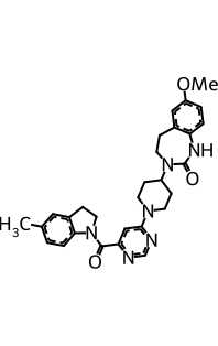 COc1ccc2c(c1)CCN(C1CCN(c3cc(C(=O)N4CCc5cc(C)ccc54)ncn3)CC1)C(=O)N2